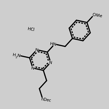 CCCCCCCCCCCCc1nc(N)nc(NCc2ccc(OC)cc2)n1.Cl